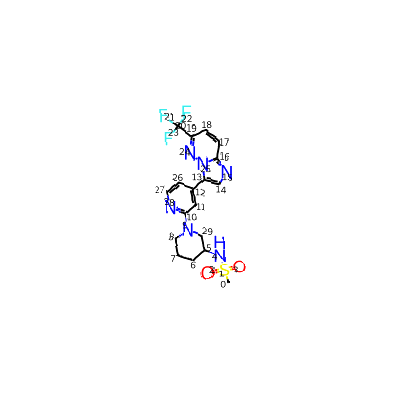 CS(=O)(=O)NC1CCCN(c2cc(-c3cnc4ccc(C(F)(F)F)nn34)ccn2)C1